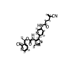 C=C(C#N)CCC(=O)Nc1ccc(-c2nnn(C)c2NC(=O)O[C@H](C)c2cccnc2Cl)nc1